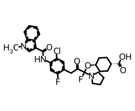 Cn1cc(C(=O)Nc2cc(F)c(CC(=O)C(F)(O[C@H]3CC[C@H](C(=O)O)CC3)N3CCCC3)cc2Cl)c2ccccc21